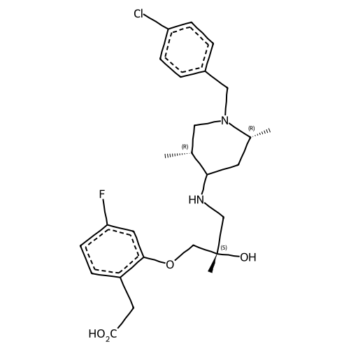 C[C@@H]1CN(Cc2ccc(Cl)cc2)[C@H](C)CC1NC[C@](C)(O)COc1cc(F)ccc1CC(=O)O